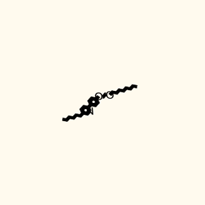 CCCCCCCCOCCOc1ccc(-c2ccc(CCCCCC)cn2)cc1